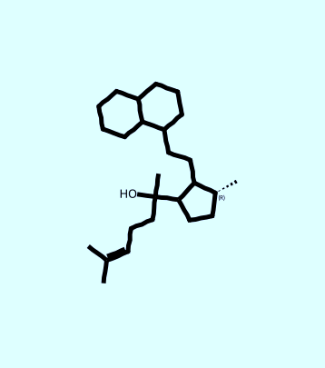 CC(C)=CCCC(C)(O)C1CC[C@@H](C)C1CCC1CCCC2CCCCC21